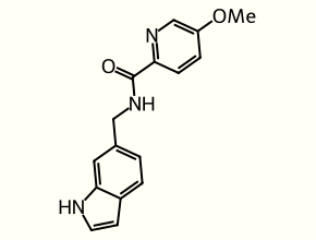 COc1ccc(C(=O)NCc2ccc3cc[nH]c3c2)nc1